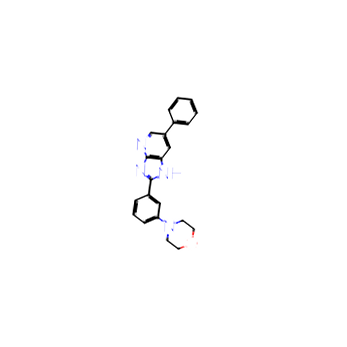 c1ccc(-c2cnc3nc(-c4cccc(N5CCOCC5)c4)[nH]c3c2)cc1